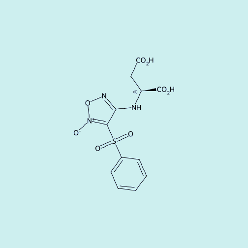 O=C(O)C[C@H](Nc1no[n+]([O-])c1S(=O)(=O)c1ccccc1)C(=O)O